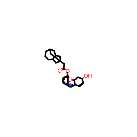 CN1CC[C@@]23C=C[C@H](O)CC2Oc2c(OC(=O)CC45CC6CCCC(C4)C(C6)C5)ccc(c23)C1